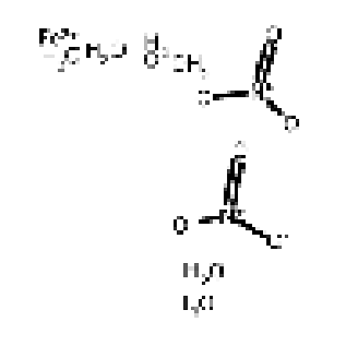 O.O.O.O.O.O.O=[N+]([O-])[O-].O=[N+]([O-])[O-].[Fe+2]